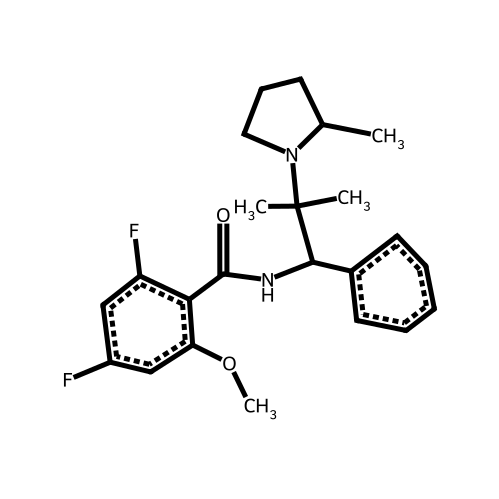 COc1cc(F)cc(F)c1C(=O)NC(c1ccccc1)C(C)(C)N1CCCC1C